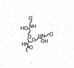 CCC(=O)NC(COCCC(O)NCCOC)COCCC(O)NCCOC